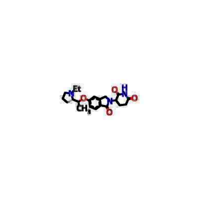 CCN1CCC[C@H]1[C@H](C)Oc1ccc2c(c1)CN(C1CCC(=O)NC1=O)C2=O